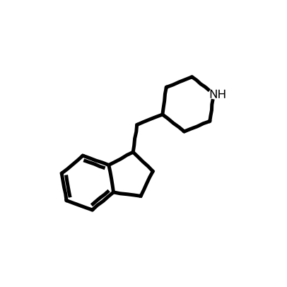 c1ccc2c(c1)CCC2CC1CCNCC1